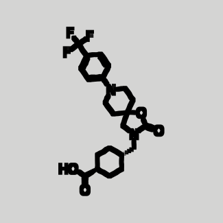 O=C1OC2(CCN(c3ccc(C(F)(F)F)cc3)CC2)CN1C[C@H]1CC[C@H](C(=O)O)CC1